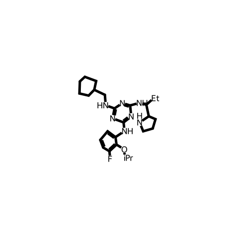 CCC(Nc1nc(NCC2CCCCC2)nc(Nc2cccc(F)c2OC(C)C)n1)C1CCCN1